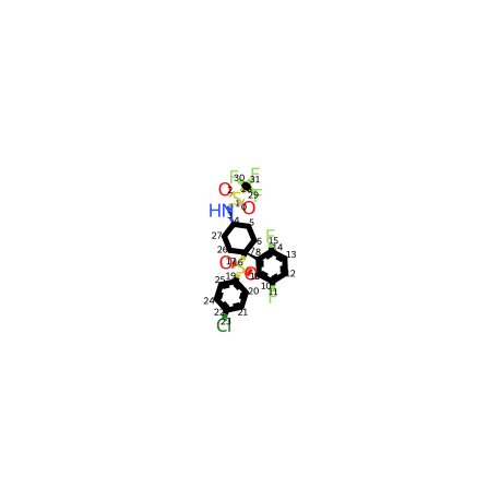 O=S(=O)(N[C@H]1CC[C@](c2cc(F)ccc2F)(S(=O)(=O)c2ccc(Cl)cc2)CC1)C(F)(F)F